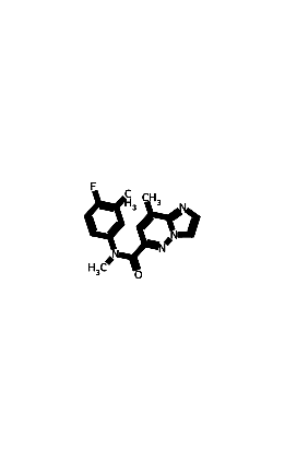 Cc1cc(N(C)C(=O)c2cc(C)c3nccn3n2)ccc1F